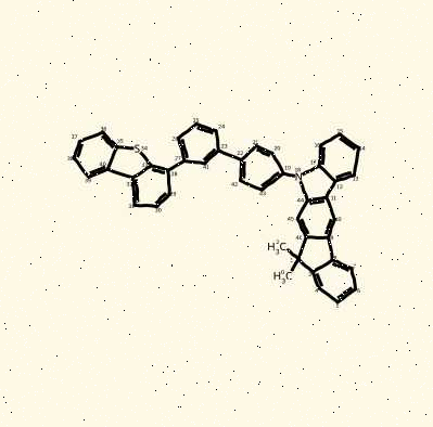 CC1(C)c2ccccc2-c2cc3c4ccccc4n(-c4ccc(-c5cccc(-c6cccc7c6sc6ccccc67)c5)cc4)c3cc21